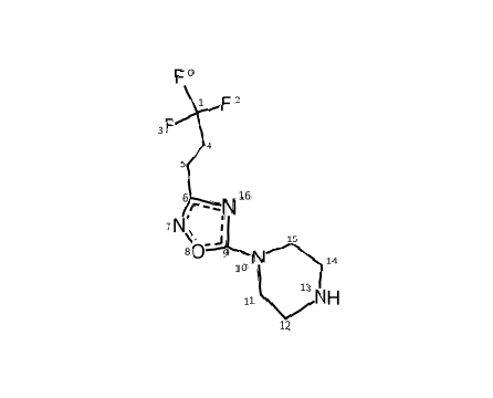 FC(F)(F)CCc1noc(N2CCNCC2)n1